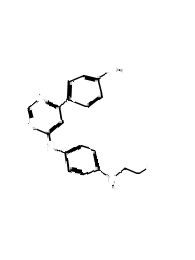 CCN(CCO)c1ccc(Nc2cc(-c3ccc(OC(F)(F)F)cc3)ncn2)cc1